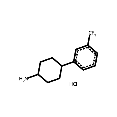 Cl.NC1CCC(c2cccc(C(F)(F)F)c2)CC1